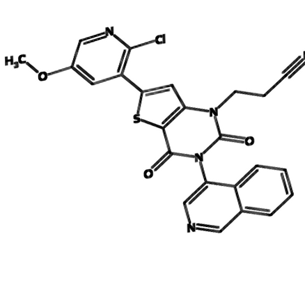 COc1cnc(Cl)c(-c2cc3c(s2)c(=O)n(-c2cncc4ccccc24)c(=O)n3CCC#N)c1